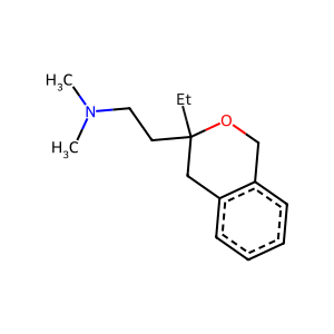 CCC1(CCN(C)C)Cc2ccccc2CO1